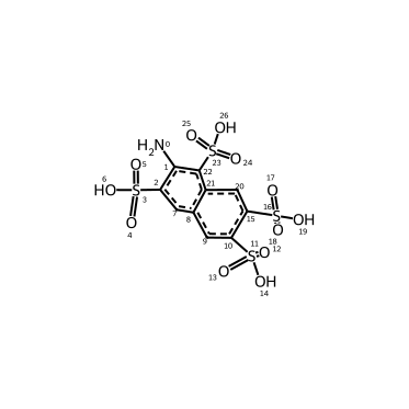 Nc1c(S(=O)(=O)O)cc2cc(S(=O)(=O)O)c(S(=O)(=O)O)cc2c1S(=O)(=O)O